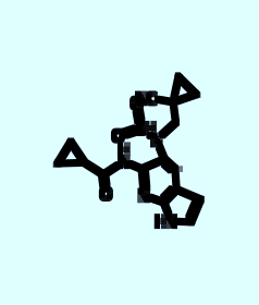 N#CC1(CN(c2[c]c3cc[nH]c3nc2NC(=O)C2CC2)[SH](=O)=O)CC1